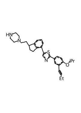 CCC#Cc1cc(-c2ncc(-c3cccc4c3CCC4CCN3CCNCC3)s2)ccc1OC(C)C